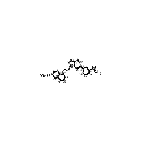 COc1ccc2c(OCc3nnc4ccc(-c5cccc(OC(F)(F)F)c5)cn34)cccc2c1